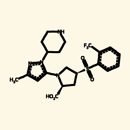 Cc1cc(N2C[C@H](S(=O)(=O)c3ccccc3C(F)(F)F)C[C@H]2C(=O)O)n(C2CCNCC2)n1